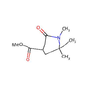 COC(=O)C1CC(C)(C)N(C)C1=O